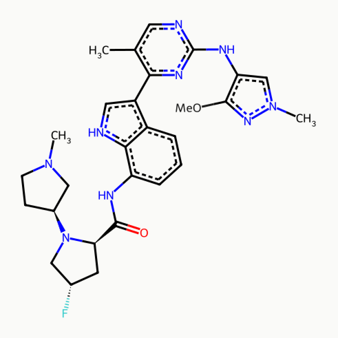 COc1nn(C)cc1Nc1ncc(C)c(-c2c[nH]c3c(NC(=O)[C@H]4C[C@H](F)CN4[C@H]4CCN(C)C4)cccc23)n1